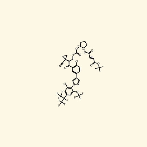 CC(C)(C)OC(=O)/C=C/C(=O)O[C@H]1CCC[C@@H]1OC(=O)OCN(C(=O)c1cc(-c2cnn(-c3c(Cl)cc(C(F)(C(F)(F)F)C(F)(F)F)cc3OC(F)(F)F)c2)ccc1Cl)C1(C#N)CC1